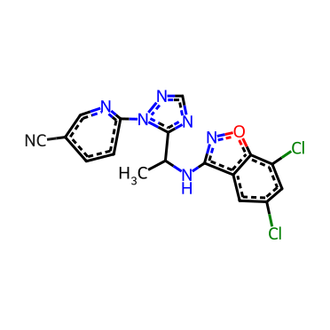 CC(Nc1noc2c(Cl)cc(Cl)cc12)c1ncnn1-c1ccc(C#N)cn1